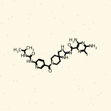 CC(C)NC(=O)Nc1ccc(C(=O)N2CCC3(CC2)CN/C(=N\C(=O)c2nc(I)c(N)nc2N)N3)cn1